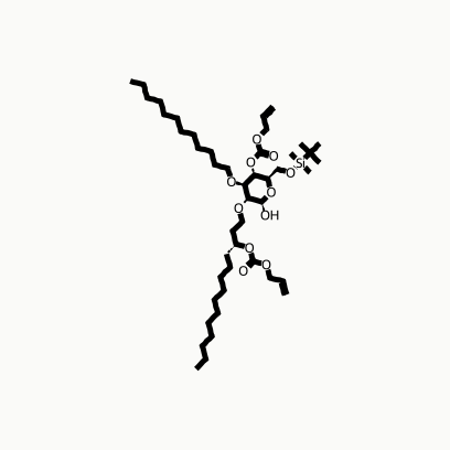 C=CCOC(=O)O[C@H](CCCCCCCCCCC)CCO[C@@H]1[C@@H](OCCCCCCCCCCCC)[C@H](OC(=O)OCC=C)[C@@H](CO[Si](C)(C)C(C)(C)C)O[C@@H]1O